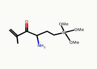 C=C(C)C(=O)C(N)CC[Si](OC)(OC)OC